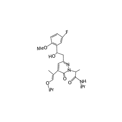 COc1ccc(F)cc1C(O)Cc1cc(/C(C)=C/OC(C)C)c(=O)n(C(C)C(=O)NC(C)C)n1